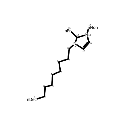 CCCCCCCCCCCCCCCCCCN1C=CN(CCCCCCCCC)C1CCC